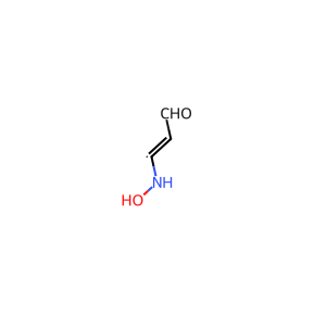 O=C/C=[C]/NO